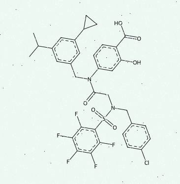 CC(C)c1cc(CN(C(=O)CN(Cc2ccc(Cl)cc2)S(=O)(=O)c2c(F)c(F)c(F)c(F)c2F)c2ccc(C(=O)O)c(O)c2)cc(C2CC2)c1